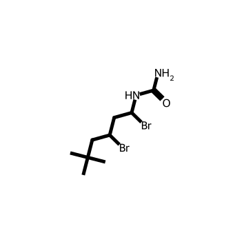 CC(C)(C)CC(Br)CC(Br)NC(N)=O